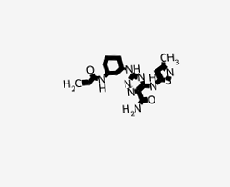 C=CC(=O)NC1CCC[C@@H](Nc2nnc(C(N)=O)c(Nc3cc(C)ns3)n2)C1